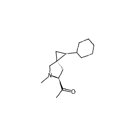 CC(=O)[C@@H]1C[C@@]2(CC2C2CCCCC2)CN1C